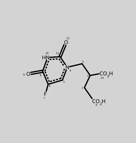 O=C(O)CC(Cn1cc(F)c(=O)[nH]c1=O)C(=O)O